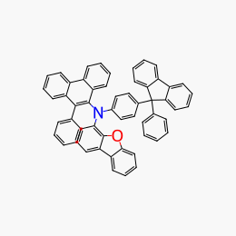 c1ccc(-c2c(N(c3ccc(C4(c5ccccc5)c5ccccc5-c5ccccc54)cc3)c3cccc4c3oc3ccccc34)c3ccccc3c3ccccc23)cc1